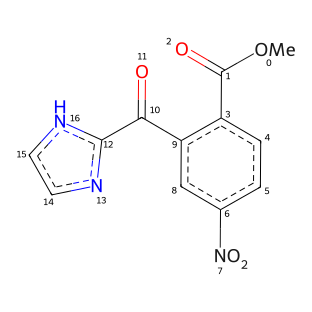 COC(=O)c1ccc([N+](=O)[O-])cc1C(=O)c1ncc[nH]1